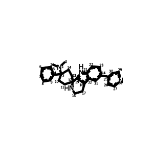 CN(C)C1(c2ccccc2)CCC2(CC1)NCCc1c2[nH]c2ccc(-c3ccncc3)cc12